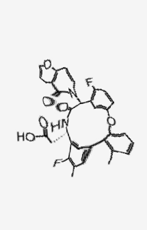 Cc1cc2cc(c1F)[C@H](CC(=O)O)NC(=O)[C@@H](n1ccc3occc3c1=O)c1cc(ccc1F)Oc1cccc(C)c1-2